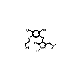 CCN1N=C(CN(C)C)C(=Nc2cc(OCCO)c(N)cc2N)C1=N